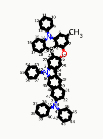 Cc1cc2c3c(c1)N(c1ccccc1)c1ccccc1B3c1cc3c(cc1O2)c1cc2ccc(N(c4ccccc4)c4ccccc4)cc2cc1n3-c1ccccc1